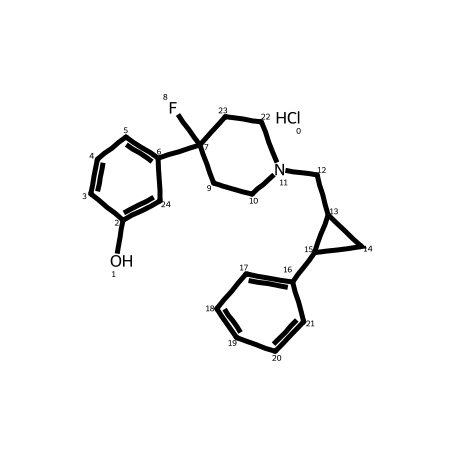 Cl.Oc1cccc(C2(F)CCN(CC3CC3c3ccccc3)CC2)c1